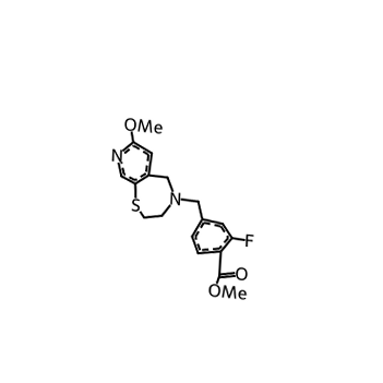 COC(=O)c1ccc(CN2CCSc3cnc(OC)cc3C2)cc1F